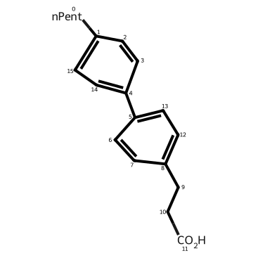 CCCCCc1ccc(-c2ccc(CCC(=O)O)cc2)cc1